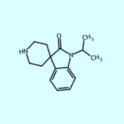 CC(C)N1C(=O)C2(CCNCC2)c2ccccc21